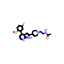 COc1ccc(F)cc1-c1ccnc2[nH]c(C3=CCN(CCNC(C)=O)CC3)cc12